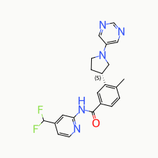 Cc1ccc(C(=O)Nc2cc(C(F)F)ccn2)cc1[C@@H]1CCN(c2cncnc2)C1